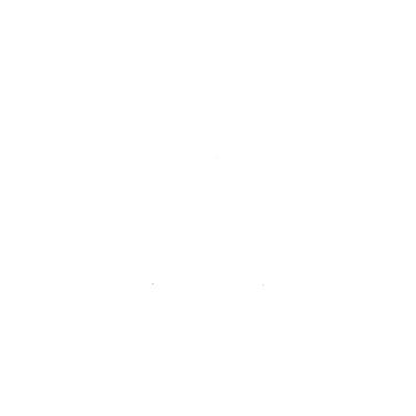 CC(C)=CC(C)(C(=O)Oc1cc(O)cc(CO)c1)C(C)(C)C